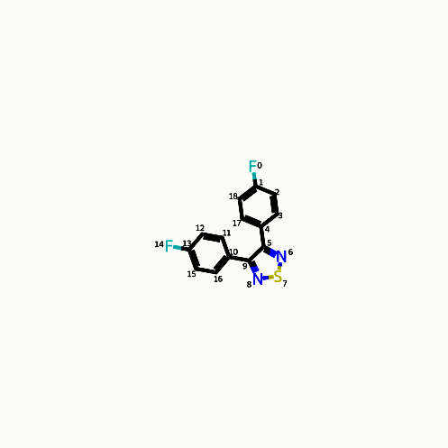 Fc1ccc(-c2nsnc2-c2ccc(F)cc2)cc1